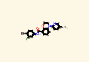 CCc1ccc(NC(=O)c2cccc3c2OCCN3c2ccc(C)cn2)cc1F